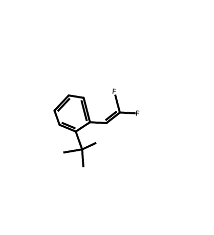 CC(C)(C)c1ccccc1C=C(F)F